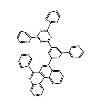 c1ccc(-c2cc(-c3nc(-c4ccccc4)nc(-c4ccccc4)n3)cc(-c3cc4c(-c5ccccc5)nc5ccccc5c4c4ccccc34)c2)cc1